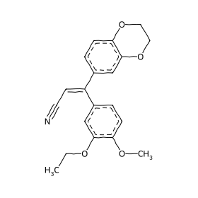 CCOc1cc(/C(=C\C#N)c2ccc3c(c2)OCCO3)ccc1OC